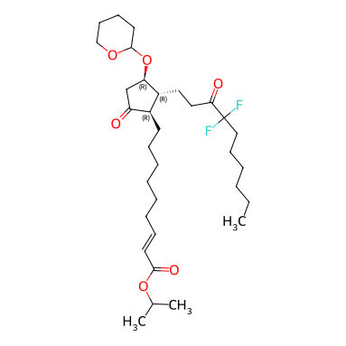 CCCCCCC(F)(F)C(=O)CC[C@H]1[C@H](OC2CCCCO2)CC(=O)[C@@H]1CCCCCCC=CC(=O)OC(C)C